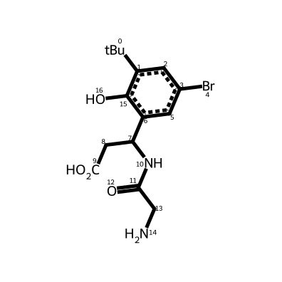 CC(C)(C)c1cc(Br)cc(C(CC(=O)O)NC(=O)CN)c1O